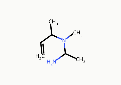 C=CC(C)N(C)C(C)N